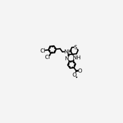 COC(=O)c1ccc2c(c1)NC1(CCSCC1)C(NCCc1ccc(Cl)c(Cl)c1)=N2